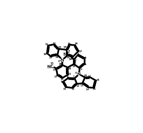 N#Cc1cccc(-n2c3ccccc3c3ccccc32)c1-c1cccc(C#N)c1-n1c2ccccc2c2ccccc21